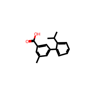 Cc1cc(C(=O)O)cc(-c2ccccc2C(C)C)c1